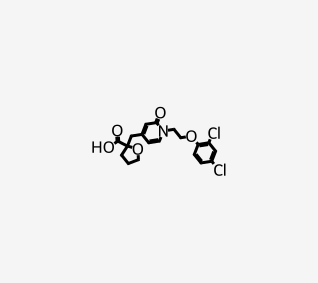 O=C(O)C1(Cc2ccn(CCOc3ccc(Cl)cc3Cl)c(=O)c2)CCCO1